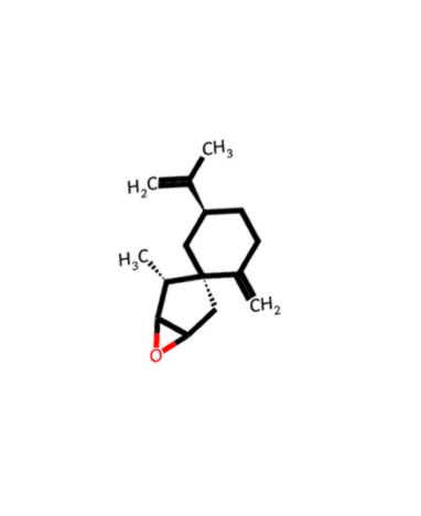 C=C(C)[C@H]1CCC(=C)[C@]2(CC3OC3[C@@H]2C)C1